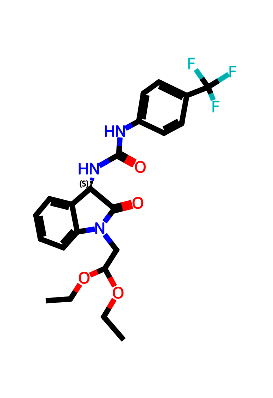 CCOC(CN1C(=O)[C@@H](NC(=O)Nc2ccc(C(F)(F)F)cc2)c2ccccc21)OCC